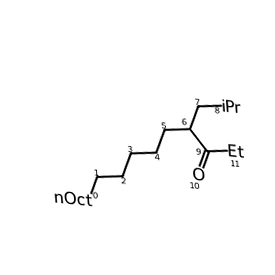 CCCCCCCCCCCCCC(CC(C)C)C(=O)CC